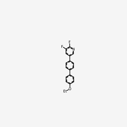 CCOc1ccc(-c2ccc(-c3cnc(F)c(F)c3)cc2)cc1